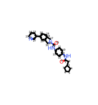 O=C(CC1CCCC1)Nc1ccc(NC(=O)N2Cc3ccc(-c4cccnc4)cc3C2)cc1